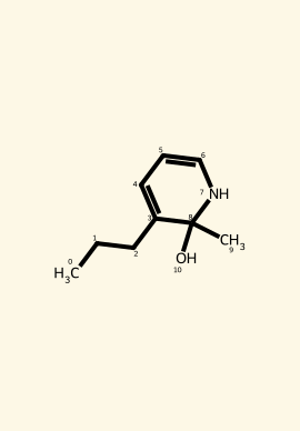 CCCC1=CC=CNC1(C)O